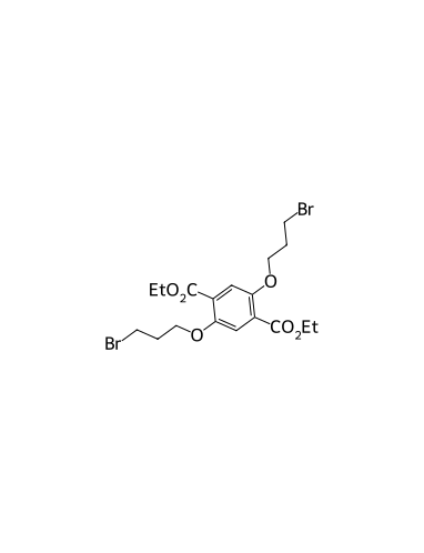 CCOC(=O)c1cc(OCCCBr)c(C(=O)OCC)cc1OCCCBr